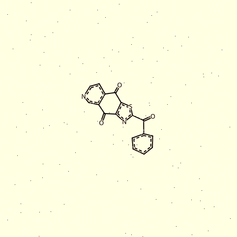 O=C(c1ccccc1)c1nc2c(s1)C(=O)c1ccncc1C2=O